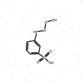 O=S(=O)(O)c1cccc(POOO)c1